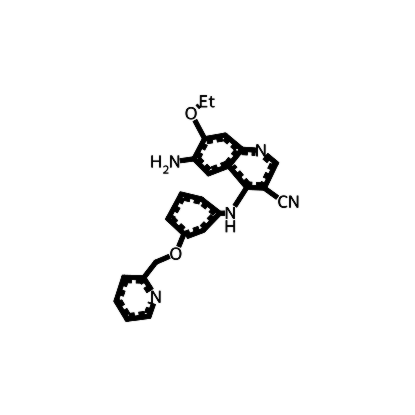 CCOc1cc2ncc(C#N)c(Nc3cccc(OCc4ccccn4)c3)c2cc1N